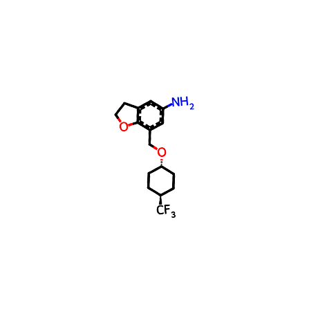 Nc1cc2c(c(CO[C@H]3CC[C@H](C(F)(F)F)CC3)c1)OCC2